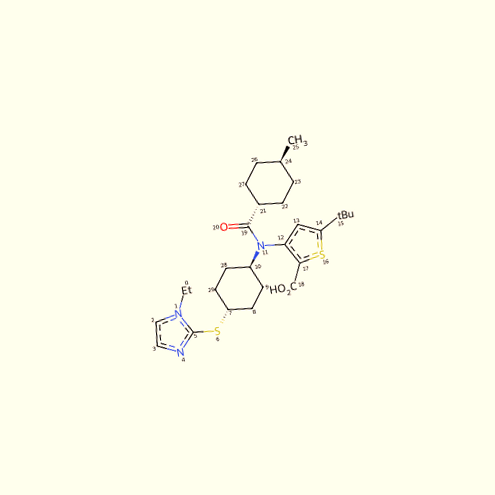 CCn1ccnc1S[C@H]1CC[C@H](N(c2cc(C(C)(C)C)sc2C(=O)O)C(=O)[C@H]2CC[C@H](C)CC2)CC1